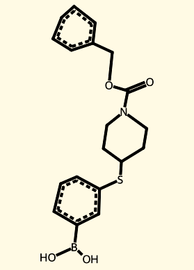 O=C(OCc1ccccc1)N1CCC(Sc2cccc(B(O)O)c2)CC1